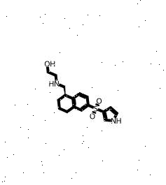 O=S(=O)(c1cc[nH]c1)c1ccc2c(c1)CCC[C@H]2CNCCO